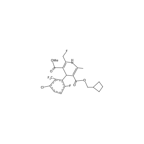 COC(=O)C1=C(CF)NC(C)=C(C(=O)OCC2CCC2)C1c1c(F)ccc(Cl)c1C(F)(F)F